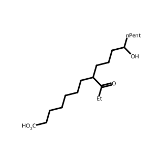 CCCCCC(O)CCCC(CCCCCCC(=O)O)C(=O)CC